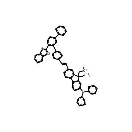 CCC1(CC)c2cc(/C=C/c3ccc(-c4cc(-c5ccccc5)ccc4-c4nc5ccccc5o4)cc3)ccc2-c2ccc(N(c3ccccc3)c3ccccc3)cc21